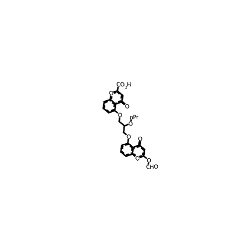 CCCOC(COc1cccc2oc(OC=O)cc(=O)c12)COc1cccc2oc(C(=O)O)cc(=O)c12